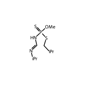 COP(=S)(NC=NC(C)C)SCC(C)C